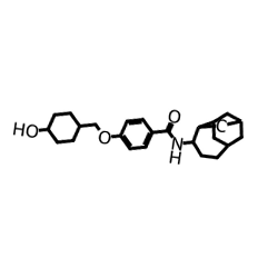 O=C(NC1CCC2CC3CC(C2)C1C3)c1ccc(OCC2CCC(O)CC2)cc1